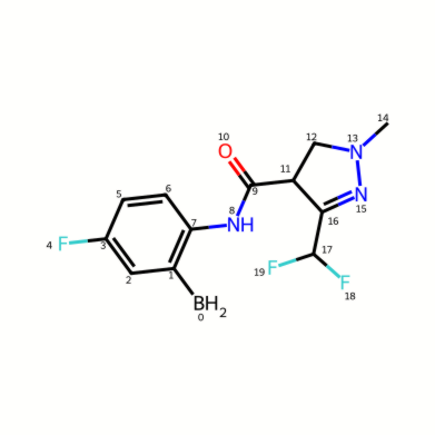 Bc1cc(F)ccc1NC(=O)C1CN(C)N=C1C(F)F